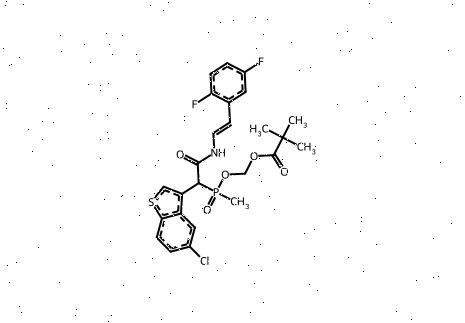 CC(C)(C)C(=O)OCOP(C)(=O)C(C(=O)N/C=C/c1cc(F)ccc1F)c1csc2ccc(Cl)cc12